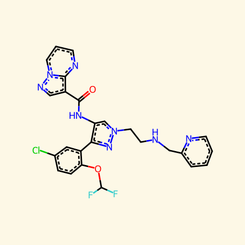 O=C(Nc1cn(CCNCc2ccccn2)nc1-c1cc(Cl)ccc1OC(F)F)c1cnn2cccnc12